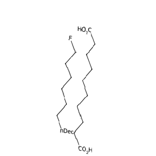 CCCCCCCCCCCCCCCCF.O=C(O)CCCCCCCCC(=O)O